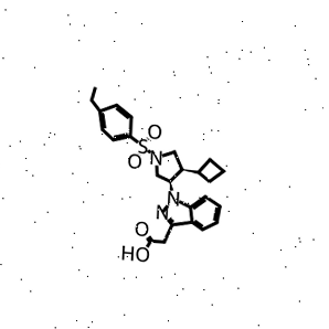 CCc1ccc(S(=O)(=O)N2C[C@@H](C3CCC3)[C@@H](n3nc(CC(=O)O)c4ccccc43)C2)cc1